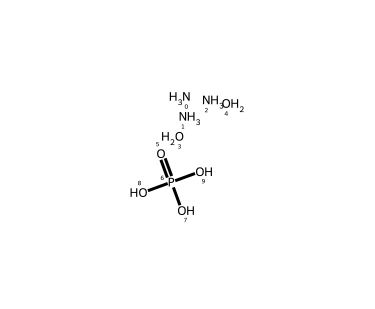 N.N.N.O.O.O=P(O)(O)O